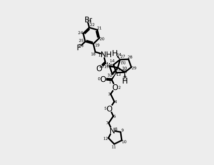 O=C(OCCOCCN1CCCC1)[C@H]1[C@H](C(=O)NCc2ccc(Br)cc2F)[C@@H]2CC[C@H]1C21CC1